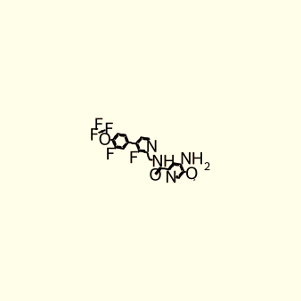 COc1cnc(C(=O)NCc2nccc(-c3ccc(OC(F)(F)F)c(F)c3)c2F)cc1N